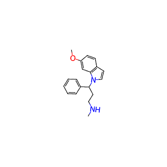 CNCCC(c1ccccc1)n1ccc2ccc(OC)cc21